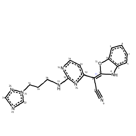 N#C/C(=C1\Nc2ccccc2O1)c1ccnc(NCCCn2cncn2)n1